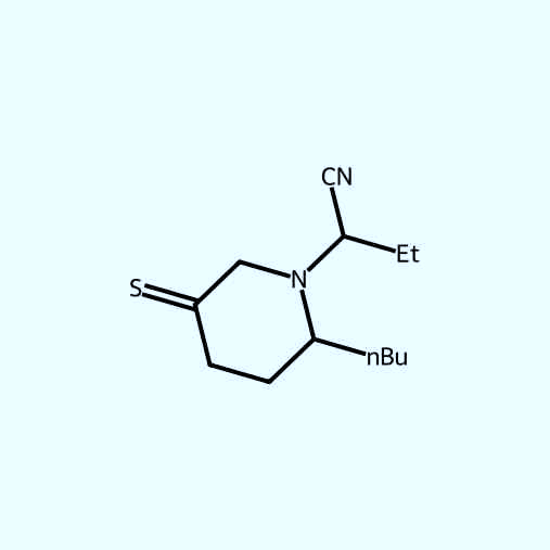 CCCCC1CCC(=S)CN1C(C#N)CC